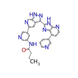 CCCC(=O)Nc1cncc(-c2cc3c(-c4nc5c(-c6cccnc6)ccnc5[nH]4)n[nH]c3cn2)c1